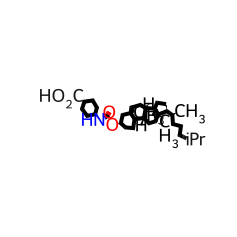 CC(C)CCC[C@@H](C)[C@H]1CC[C@H]2[C@@H]3CC=C4C[C@@H](OC(=O)N[C@H]5CC[C@H](C(=O)O)CC5)CC[C@]4(C)[C@H]3CC[C@]12C